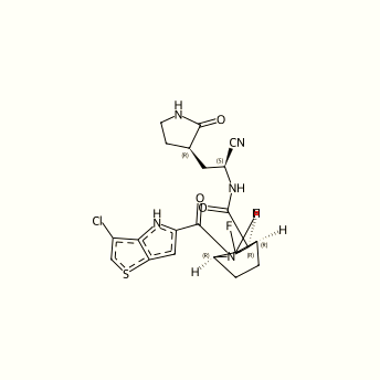 N#C[C@H](C[C@H]1CCNC1=O)NC(=O)[C@H]1[C@H]2CC[C@H](CC2(F)F)N1C(=O)c1cc2scc(Cl)c2[nH]1